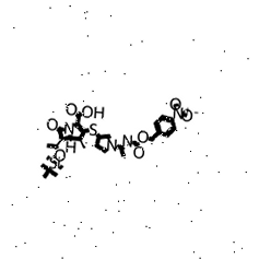 CC(=NC(=O)OCc1ccc([N+](=O)[O-])cc1)N1CCC(SC2=C(C(=O)O)N3C(=O)[C@H](C(C)O[Si](C)(C)C(C)(C)C)[C@H]3[C@@H]2C)C1